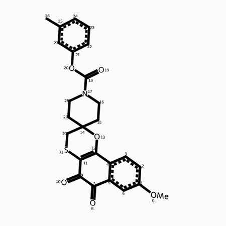 COc1ccc2c(c1)C(=O)C(=O)C1=C2OC2(CCN(C(=O)Oc3cccc(C)c3)CC2)CS1